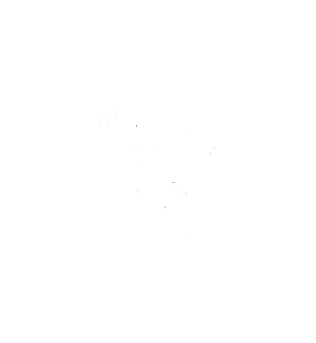 CC(C)(O)C12CC3CC(C1)OC(=O)C(C3)C2